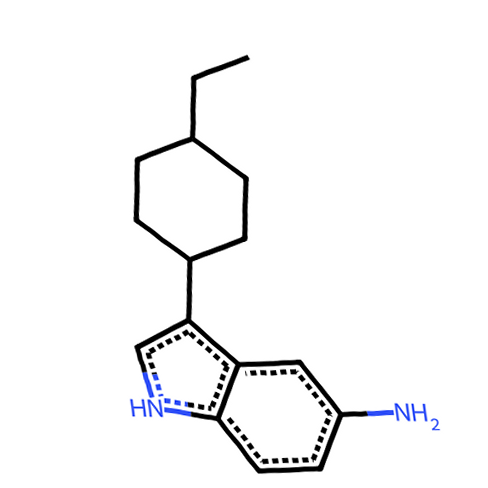 CCC1CCC(c2c[nH]c3ccc(N)cc23)CC1